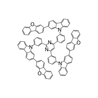 c1cc(-c2cc(-c3cccc(-n4c5ccccc5c5ccc(-c6ccc7c(c6)oc6ccccc67)cc54)c3)nc(-c3cccc(-n4c5ccccc5c5ccc(-c6ccc7c(c6)oc6ccccc67)cc54)c3)n2)cc(-n2c3ccccc3c3ccc(-c4ccc5c(c4)oc4ccccc45)cc32)c1